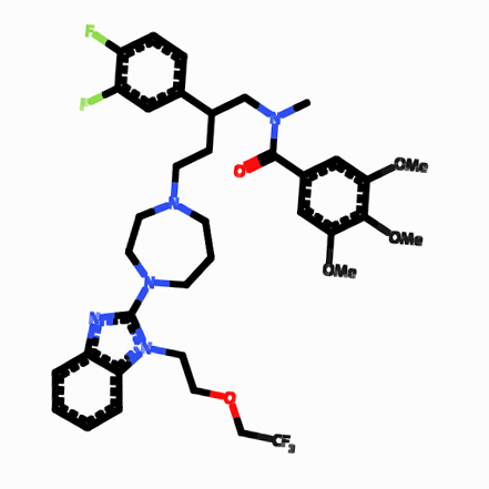 COc1cc(C(=O)N(C)CC(CCN2CCCN(c3nc4ccccc4n3CCOCC(F)(F)F)CC2)c2ccc(F)c(F)c2)cc(OC)c1OC